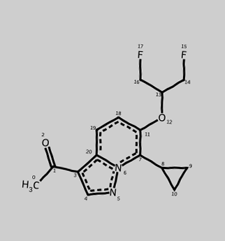 CC(=O)c1cnn2c(C3CC3)c(OC(CF)CF)ccc12